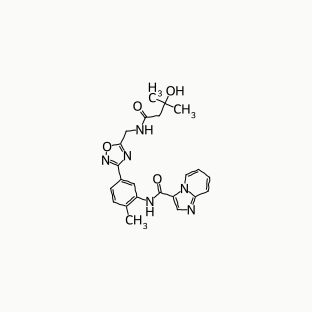 Cc1ccc(-c2noc(CNC(=O)CC(C)(C)O)n2)cc1NC(=O)c1cnc2ccccn12